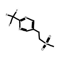 CS(=O)(=O)CCc1cnc(C(F)(F)F)nc1